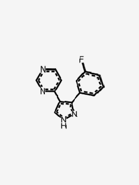 Fc1cccc(-c2n[nH]cc2-c2ccncn2)c1